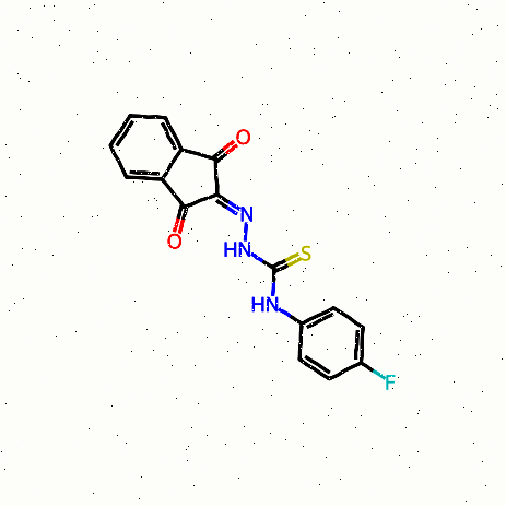 O=c1c(=NNC(=S)Nc2ccc(F)cc2)c(=O)c2ccccc12